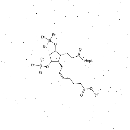 CCCCCCCC(=O)CC[C@H]1C(O[Si](CC)(CC)CC)CC(O[Si](CC)(CC)CC)[C@@H]1C/C=C\CCCC(=O)OC(C)C